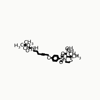 CC(C)(C)OC(=O)NCCCC#CCOc1ccc(S(=O)(=O)N2CCSC(C)(C)[C@@H]2C(=O)NO)cc1